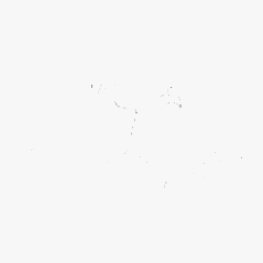 O=C=NC(CCF)C(=O)O